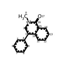 Cn1cc(-c2ccccc2)c2ccccc2c1=O